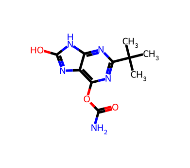 CC(C)(C)c1nc(OC(N)=O)c2nc(O)[nH]c2n1